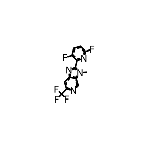 Cn1c(-c2nc(F)ccc2F)nc2cc(C(F)(F)F)ncc21